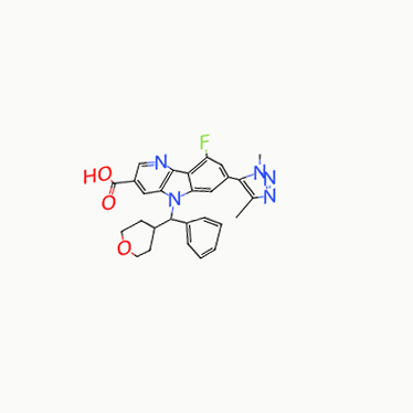 Cc1nnn(C)c1-c1cc(F)c2c3ncc(C(=O)O)cc3n(C(c3ccccc3)C3CCOCC3)c2c1